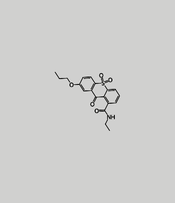 CCCOc1ccc2c(c1)C(=O)c1c(C(=O)NCC)cccc1S2(=O)=O